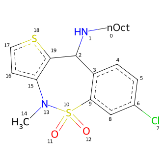 CCCCCCCCNC1c2ccc(Cl)cc2S(=O)(=O)N(C)c2ccsc21